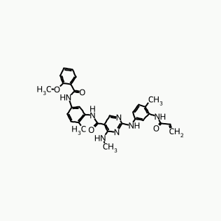 C=CC(=O)Nc1cc(Nc2ncc(C(=O)Nc3cc(NC(=O)c4ccccc4OC)ccc3C)c(NC)n2)ccc1C